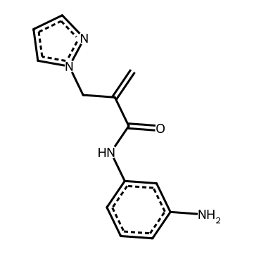 C=C(Cn1cccn1)C(=O)Nc1cccc(N)c1